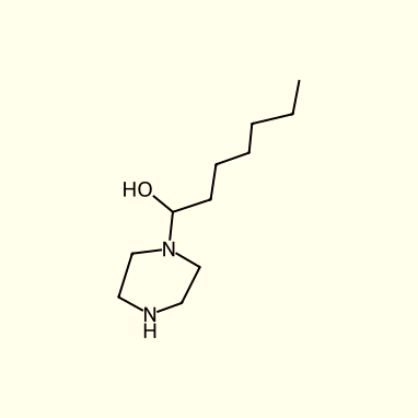 CCCCCCC(O)N1CCNCC1